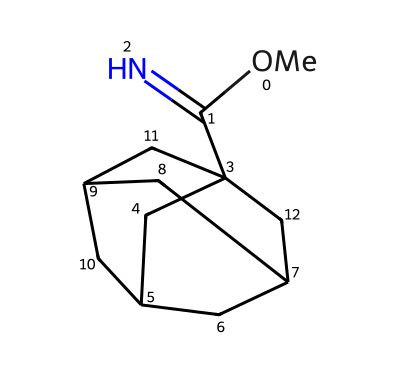 COC(=N)C12CC3CC(CC(C3)C1)C2